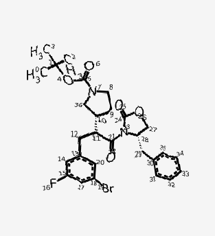 CC(C)(C)OC(=O)N1CC[C@H](C(Cc2cc(F)cc(Br)c2)C(=O)N2C(=O)OC[C@@H]2Cc2ccccc2)C1